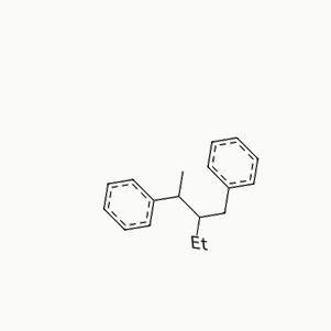 CCC(Cc1ccccc1)C(C)c1ccccc1